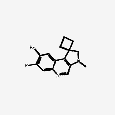 CN1CC2(CCC2)c2c1cnc1cc(F)c(Br)cc21